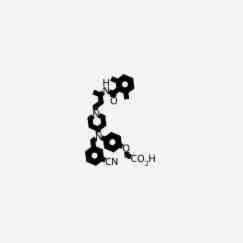 Cc1cccc(C)c1C(=O)NC(C)CCN1CCC(N(Cc2cccc(C#N)c2)c2ccc(OCC(=O)O)cc2)CC1